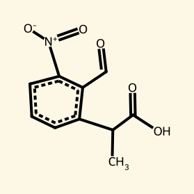 CC(C(=O)O)c1cccc([N+](=O)[O-])c1C=O